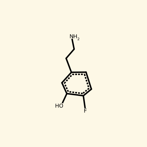 NCCc1ccc(F)c(O)c1